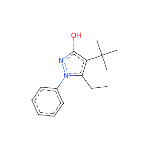 CCc1c(C(C)(C)C)c(O)nn1-c1ccccc1